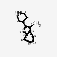 Cc1c(C2CCNCC2)sc2ccccc12